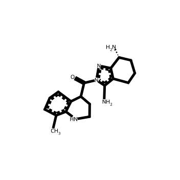 Cc1cccc2c1NCCC2C(=O)n1nc2c(c1N)CCC[C@H]2N